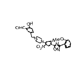 COc1ccccc1-c1noc(-c2ccc(N3CCN(Cc4ccc(O)c(C=O)c4)CC3)c([N+](=O)[O-])c2)n1